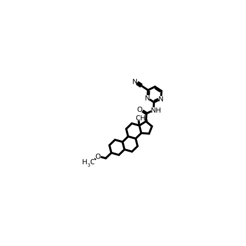 COCC1CCC2C(CCC3C2CCC2(C)C(C(=O)Nc4nccc(C#N)n4)CCC32)C1